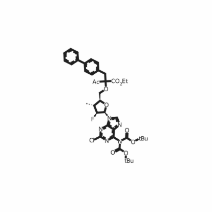 CCOC(=O)C(Cc1ccc(-c2ccccc2)cc1)(OC[C@H]1O[C@@H](n2cnc3c(N(C(=O)OC(C)(C)C)C(=O)OC(C)(C)C)nc(Cl)nc32)[C@@H](F)[C@@H]1C)C(C)=O